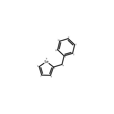 c1ccc(Cc2ccc[se]2)cc1